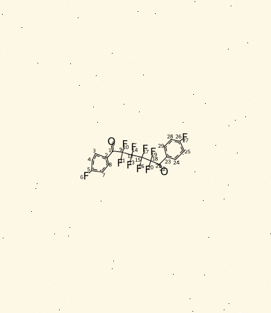 O=C(c1ccc(F)cc1)C(F)(F)C(F)(F)C(F)(F)C(F)(F)C(=O)c1ccc(F)cc1